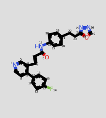 O=C(C=Cc1cnccc1-c1ccc(F)cc1)Nc1ccc(CCc2nnco2)cc1